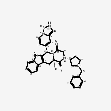 O=C1[C@H]2Cc3c([nH]c4ccccc34)[C@H](C3=CC4=CNSN4C=C3)N2C(=O)CN1[C@@H]1CCN(Cc2ccccc2)C1